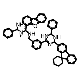 CN(C(N)c1ccccc1)C(NCc1cccc(C2=NC(c3ccc4c(c3)C3(CCCCC3)c3ccccc3-4)NC(c3ccccc3)N2)c1)c1cccc2c1oc1ccccc12